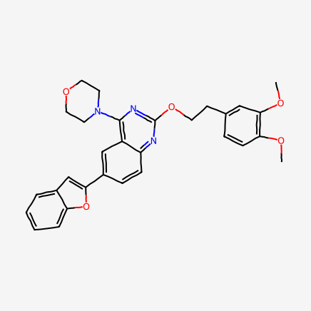 COc1ccc(CCOc2nc(N3CCOCC3)c3cc(-c4cc5ccccc5o4)ccc3n2)cc1OC